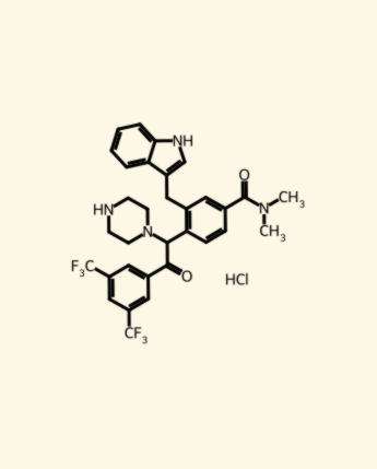 CN(C)C(=O)c1ccc(C(C(=O)c2cc(C(F)(F)F)cc(C(F)(F)F)c2)N2CCNCC2)c(Cc2c[nH]c3ccccc23)c1.Cl